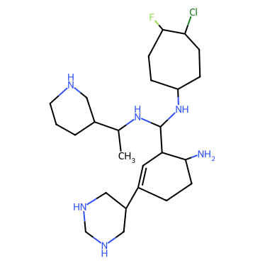 CC(NC(NC1CCC(F)C(Cl)CC1)C1C=C(C2CNCNC2)CCC1N)C1CCCNC1